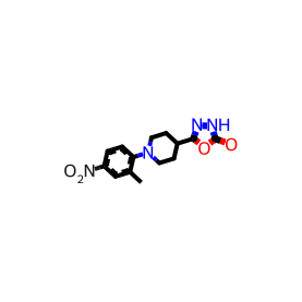 Cc1cc([N+](=O)[O-])ccc1N1CCC(c2n[nH]c(=O)o2)CC1